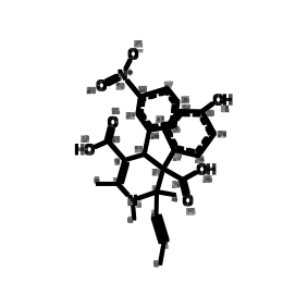 CC#CC1(C)N(C)C(C)=C(C(=O)O)C(c2cccc([N+](=O)[O-])c2)C1(C(=O)O)c1ccc(O)cc1